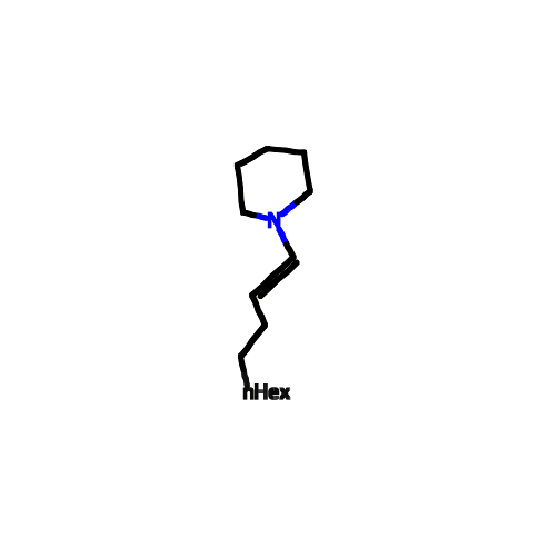 CCCCCCCCC=CN1CCCCC1